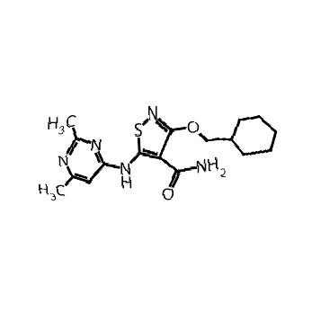 Cc1cc(Nc2snc(OCC3CCCCC3)c2C(N)=O)nc(C)n1